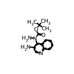 CC(C)(C)OC(=O)N(N)c1c(N)cnc2ccccc12